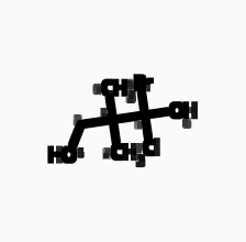 CC(C)(CO)C(O)(Cl)Br